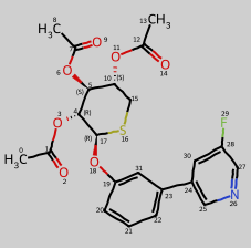 CC(=O)O[C@@H]1[C@@H](OC(C)=O)[C@H](OC(C)=O)CS[C@H]1Oc1cccc(-c2cncc(F)c2)c1